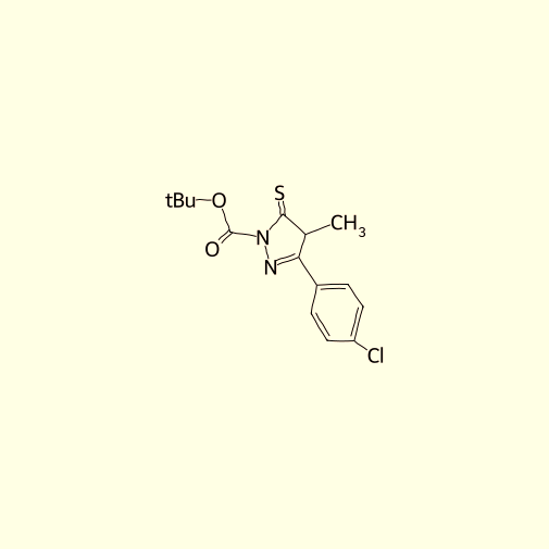 CC1C(=S)N(C(=O)OC(C)(C)C)N=C1c1ccc(Cl)cc1